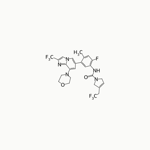 Cc1cc(F)c(NC(=O)N2CC=C(CC(F)(F)F)C2)cc1-c1cc(N2CCOCC2)c2nc(C(F)(F)F)cn2c1